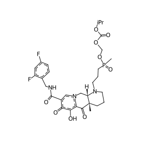 CC(C)OC(=O)OCOP(C)(=O)CCCN1CCC[C@]2(C)C(=O)c3c(O)c(=O)c(C(=O)NCc4ccc(F)cc4F)cn3C[C@H]12